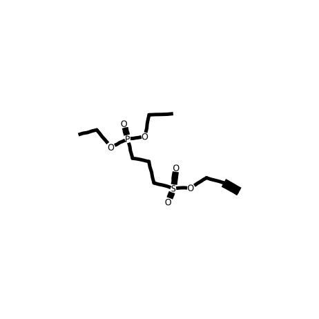 C#CCOS(=O)(=O)CCCP(=O)(OCC)OCC